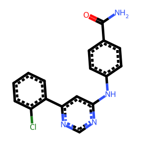 NC(=O)c1ccc(Nc2cc(-c3ccccc3Cl)ncn2)cc1